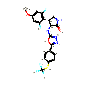 COc1cc(F)c([C@@H]2CNC(=O)[C@H]2Nc2nnc(-c3ccc(SC(F)(F)F)cc3)o2)c(F)c1